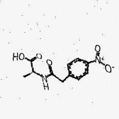 C[C@H](NC(=O)Cc1ccc([N+](=O)[O-])cc1)C(=O)O